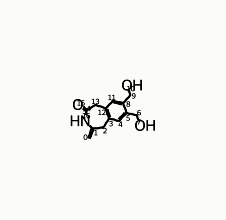 C=C1Cc2cc(CO)c(CO)cc2CC(=O)N1